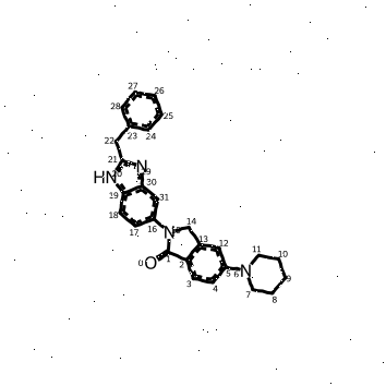 O=C1c2ccc(N3CCCCC3)cc2CN1c1ccc2[nH]c(Cc3ccccc3)nc2c1